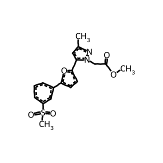 COC(=O)Cn1nc(C)cc1-c1ccc(-c2cccc(S(C)(=O)=O)c2)o1